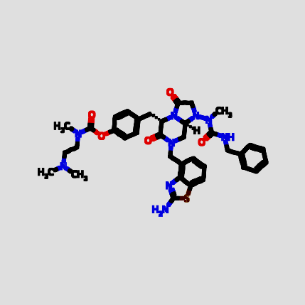 CN(C)CCN(C)C(=O)Oc1ccc(C[C@H]2C(=O)N(Cc3cccc4sc(N)nc34)C[C@H]3N2C(=O)CN3N(C)C(=O)NCc2ccccc2)cc1